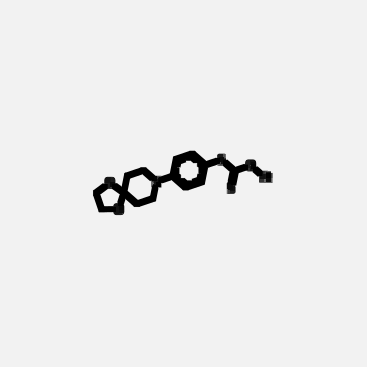 CCOC(=S)Sc1ccc(N2CCC3(CC2)OCCO3)cc1